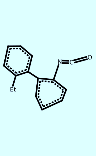 CCc1ccccc1-c1ccccc1N=C=O